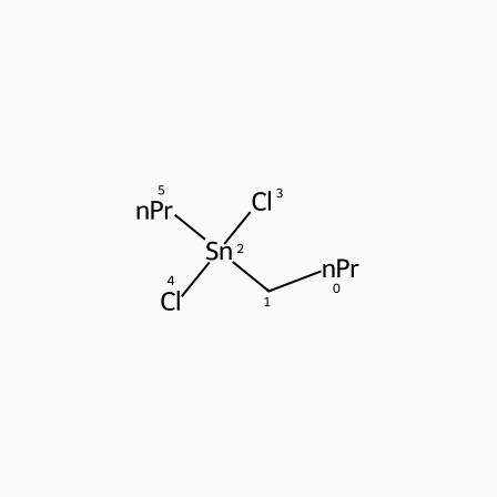 CCC[CH2][Sn]([Cl])([Cl])[CH2]CC